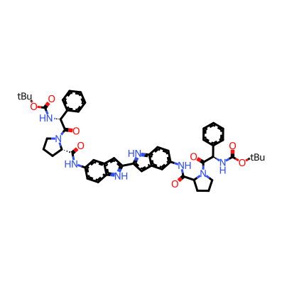 CC(C)(C)OC(=O)N[C@@H](C(=O)N1CCCC1C(=O)Nc1ccc2[nH]c(-c3cc4cc(NC(=O)[C@@H]5CCCN5C(=O)[C@H](NC(=O)OC(C)(C)C)c5ccccc5)ccc4[nH]3)cc2c1)c1ccccc1